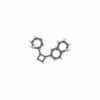 c1ccc(C2CCC2c2ccc3ncccc3c2)nc1